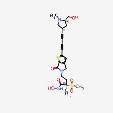 CN1C[C@@H](C#CC#Cc2cc3c(s2)C(=O)N(CC[C@](C)(C(=O)NO)S(C)(=O)=O)C3)C[C@@H]1CO